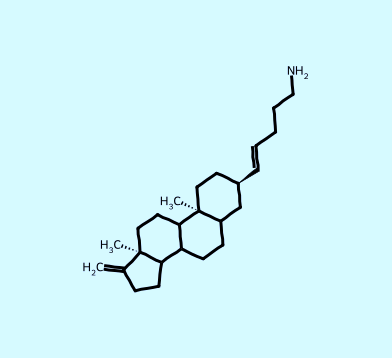 C=C1CCC2C3CCC4C[C@H](/C=C/CCCN)CC[C@]4(C)C3CC[C@]12C